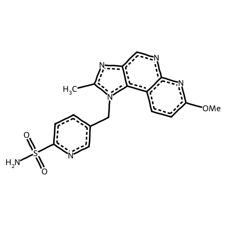 COc1ccc2c(ncc3nc(C)n(Cc4ccc(S(N)(=O)=O)nc4)c32)n1